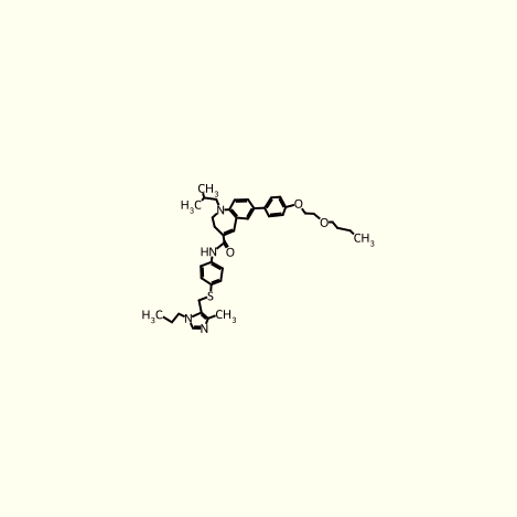 CCCCOCCOc1ccc(-c2ccc3c(c2)C=C(C(=O)Nc2ccc(SCc4c(C)ncn4CCC)cc2)CCN3CC(C)C)cc1